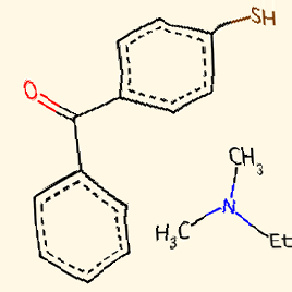 CCN(C)C.O=C(c1ccccc1)c1ccc(S)cc1